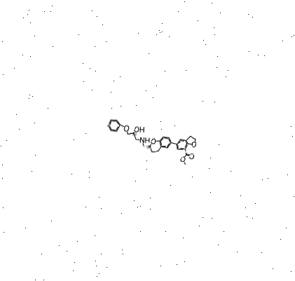 COC(=O)c1cc(-c2ccc3c(c2)CC[C@H](CNC[C@H](O)COc2ccccc2)O3)cc2c1OCC2